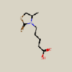 CC1CSC(=S)N1CCCCC(=O)O